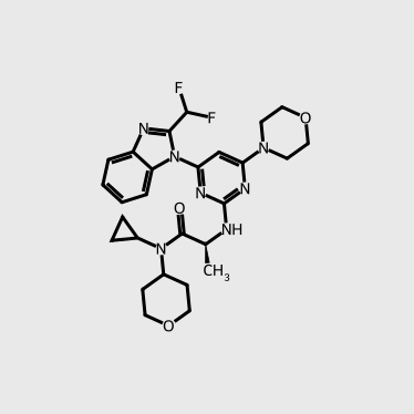 C[C@H](Nc1nc(N2CCOCC2)cc(-n2c(C(F)F)nc3ccccc32)n1)C(=O)N(C1CCOCC1)C1CC1